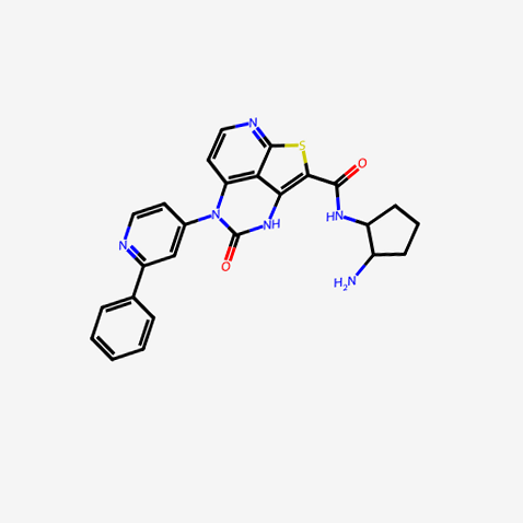 NC1CCCC1NC(=O)c1sc2nccc3c2c1NC(=O)N3c1ccnc(-c2ccccc2)c1